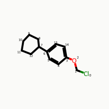 ClCOc1ccc(C2CCCCC2)cc1